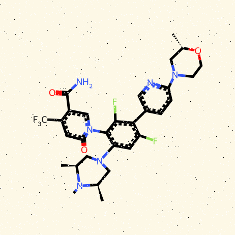 C[C@@H]1CN(c2cc(F)c(-c3ccc(N4CCO[C@@H](C)C4)nc3)c(F)c2-n2cc(C(N)=O)c(C(F)(F)F)cc2=O)C[C@H](C)N1C